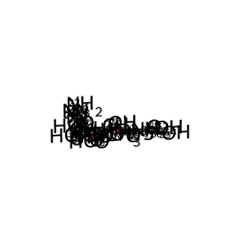 CC(C)(COP(=O)(O)OP(=O)(O)OC[C@H]1O[C@@H](n2cnc3c(N)ncnc32)[C@H](O)[C@@H]1OP(=O)(O)O)[C@@H](O)C(=O)NCCC(=O)NCCSC(=O)CC(O)CO